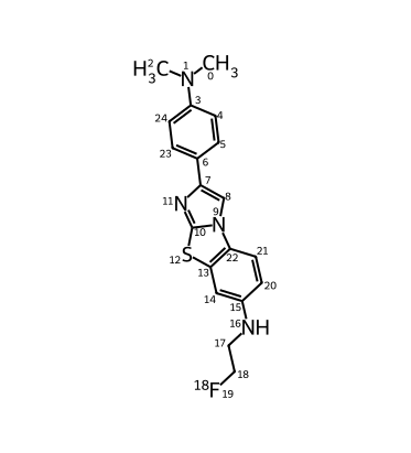 CN(C)c1ccc(-c2cn3c(n2)sc2cc(NCC[18F])ccc23)cc1